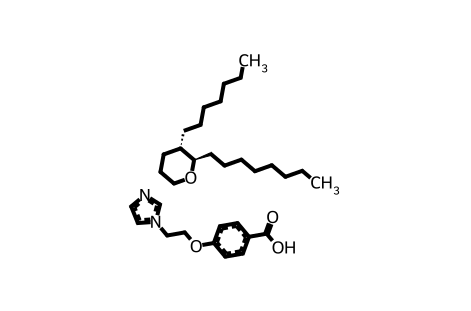 CCCCCCCC[C@H]1OCCC[C@@H]1CCCCCCC.O=C(O)c1ccc(OCCn2ccnc2)cc1